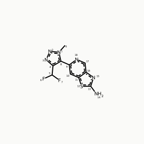 Cn1nnc(C(F)F)c1-c1cc2sc(N)nc2cn1